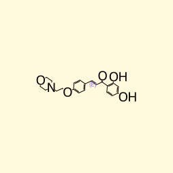 O=C(/C=C/c1ccc(OCCN2CCOCC2)cc1)c1ccc(O)cc1O